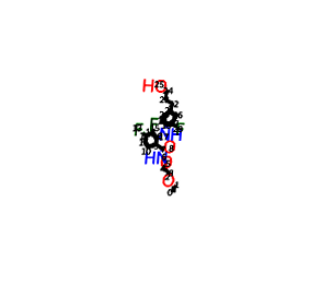 C=COCCONC(=O)c1ccc(F)c(F)c1Nc1ccc(CCCO)cc1F